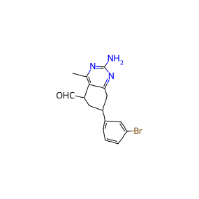 Cc1nc(N)nc2c1C(C=O)CC(c1cccc(Br)c1)C2